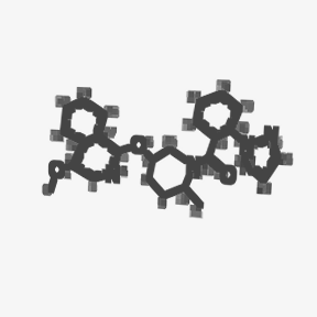 COc1cnc(OC2CCC(C)N(C(=O)c3ccccc3-n3nccn3)C2)c2ccccc12